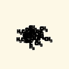 CCO[Si](OCC)(OCC)C(C)[Si](C)(C)O[Si](C)(C)O[Si](C)(C)O[Si](C)(C)O[SiH](C)C